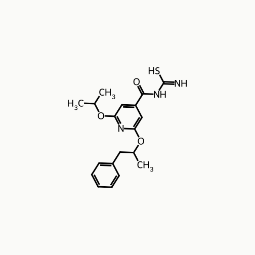 CC(C)Oc1cc(C(=O)NC(=N)S)cc(OC(C)Cc2ccccc2)n1